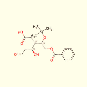 C[Si](C)(C)O[C@H](COC(=O)c1ccccc1)[C@@H](CC(=O)O)[C@@H](O)CC=O